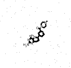 CCCc1nc(N)nc2ccc(-c3cccc(C(=O)N4CCN(C)CC4)c3)nc12